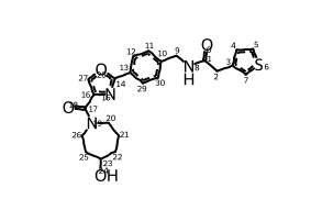 O=C(Cc1ccsc1)NCc1ccc(-c2nc(C(=O)N3CCCC(O)CC3)co2)cc1